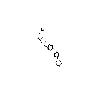 O=C(C1CN(C(=O)C2CC2)C1)N(O)Cc1ccc(Nc2ccc(N3CCC(C(F)(F)F)CC3)cc2)cc1